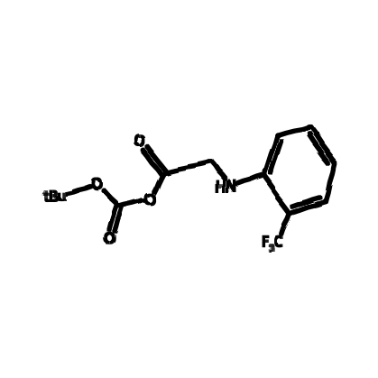 CC(C)(C)OC(=O)OC(=O)CNc1ccccc1C(F)(F)F